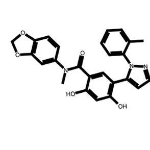 Cc1ccccc1-n1nccc1-c1cc(C(=O)N(C)c2ccc3c(c2)OCO3)c(O)cc1O